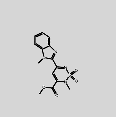 COC(=O)C1=CC(c2nc3ccccc3n2C)=NS(=O)(=O)N1C